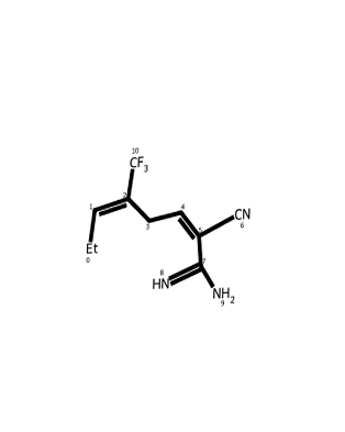 CC/C=C(\CC=C(C#N)C(=N)N)C(F)(F)F